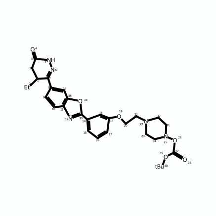 CCC1CC(=O)NN=C1c1ccc2nc(-c3cccc(OCCN4CCN(OC(=O)OC(C)(C)C)CC4)c3)oc2c1